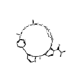 CN1CCCN(C)c2ccc(cn2)-c2ccnc(n2)Nc2ccc(C(=O)N(C)C)c(c2)CN2CCN(CC1)CC2